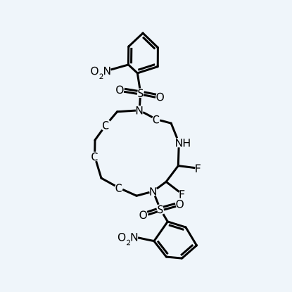 O=[N+]([O-])c1ccccc1S(=O)(=O)N1CCCCCCCN(S(=O)(=O)c2ccccc2[N+](=O)[O-])C(F)C(F)NCC1